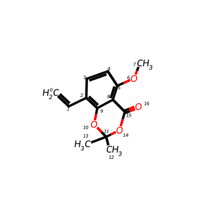 C=Cc1ccc(OC)c2c1OC(C)(C)OC2=O